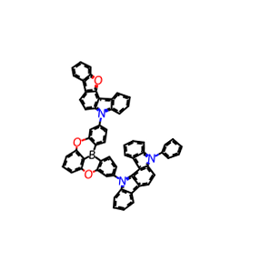 c1ccc(-n2c3ccccc3c3c2ccc2c4ccccc4n(-c4ccc5c(c4)Oc4cccc6c4B5c4ccc(-n5c7ccccc7c7c8oc9ccccc9c8ccc75)cc4O6)c23)cc1